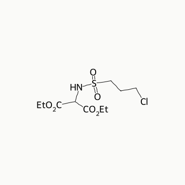 CCOC(=O)C(NS(=O)(=O)CCCCl)C(=O)OCC